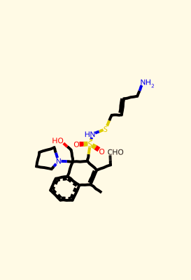 CC1=C(CC=O)C(S(=O)(=O)NSCC=CCN)C(CO)(N2CCCC2)c2ccccc21